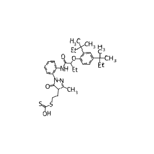 CCC(Oc1ccc(C(C)(C)CC)cc1C(C)(C)CC)C(=O)Nc1ccccc1N1N=C(C)C(CCSC(O)=S)C1=O